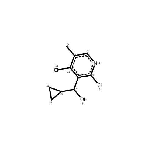 Cc1cnc(Cl)c(C(O)C2CC2)c1Cl